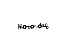 COC(=O)COc1ccc(SCc2ccc(OCc3ccc(OC(F)(F)F)cc3)cc2)cc1C